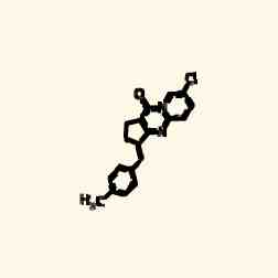 Cc1ccc(C=C2CCc3c2nc2ccc(Cl)cn2c3=O)cc1